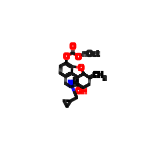 C=C1CCC2(O)C3Cc4ccc(OC(=O)OCCCCCCCC)c5c4C2(CCN3CC2CC2)C1O5